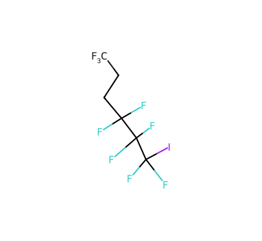 FC(F)(F)CCC(F)(F)C(F)(F)C(F)(F)I